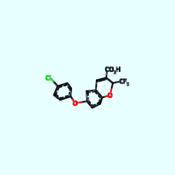 O=C(O)C1=Cc2cc(Oc3ccc(Cl)cc3)ccc2OC1C(F)(F)F